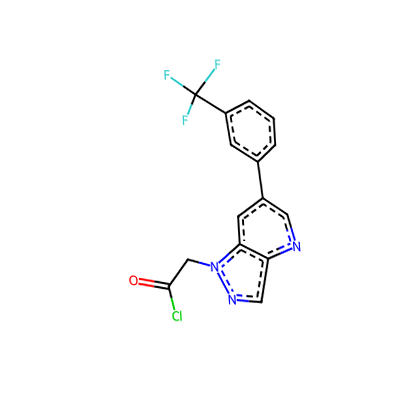 O=C(Cl)Cn1ncc2ncc(-c3cccc(C(F)(F)F)c3)cc21